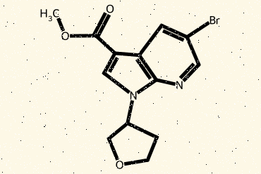 COC(=O)c1cn(C2CCOC2)c2ncc(Br)cc12